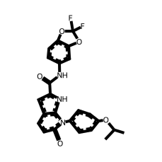 CC(C)Oc1ccc(-n2c(=O)ccc3cc(C(=O)Nc4ccc5c(c4)OC(F)(F)O5)[nH]c32)cc1